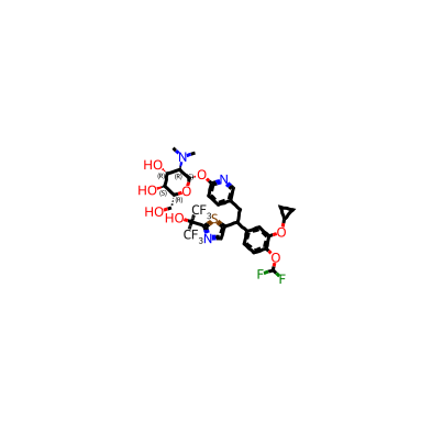 CN(C)[C@H]1[C@H](Oc2ccc(CC(c3ccc(OC(F)F)c(OC4CC4)c3)c3cnc(C(O)(C(F)(F)F)C(F)(F)F)s3)cn2)O[C@H](CO)[C@@H](O)[C@@H]1O